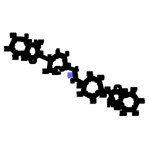 C(=C\c1ccc(-c2nc3ccccc3o2)cc1)/c1ccc(-c2nc3ccccc3o2)cc1